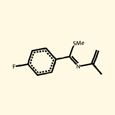 C=C(C)/N=C(\SC)c1ccc(F)cc1